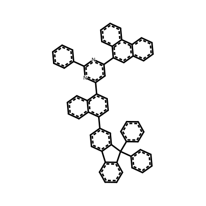 c1ccc(-c2nc(-c3ccc(-c4ccc5c(c4)C(c4ccccc4)(c4ccccc4)c4ccccc4-5)c4ccccc34)cc(-c3cc4ccccc4c4ccccc34)n2)cc1